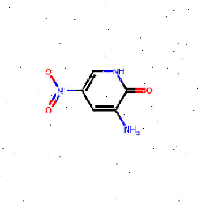 Nc1cc([N+](=O)[O-])c[nH]c1=O